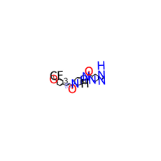 O=C(/C=C/c1ccc(OC(F)(F)F)cc1)N1CC=C2CN(C(=O)C3Cc4[nH]cnc4CN3)C[C@H]2CC1